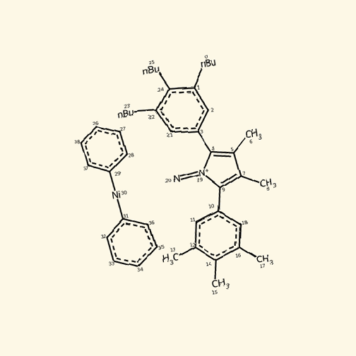 CCCCc1cc(C2=C(C)C(C)=C(c3cc(C)c(C)c(C)c3)[N+]2=[N-])cc(CCCC)c1CCCC.c1cc[c]([Ni][c]2ccccc2)cc1